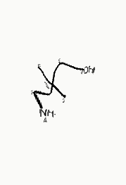 CC(C)(C[NH])CO